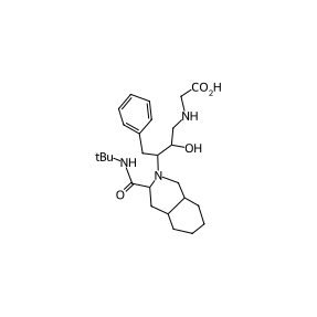 CC(C)(C)NC(=O)C1CC2CCCCC2CN1C(Cc1ccccc1)C(O)CNCC(=O)O